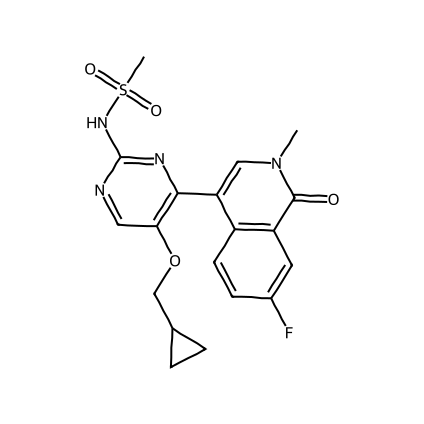 Cn1cc(-c2nc(NS(C)(=O)=O)ncc2OCC2CC2)c2ccc(F)cc2c1=O